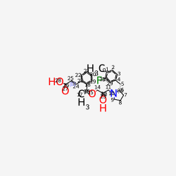 Cc1ccc(C[C@@H]2CCCN2C[C@@H](O)CO[C@H](C)c2ccccc2/C=C/C(=O)O)cc1F